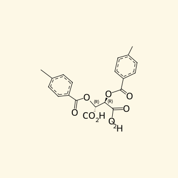 [2H]OC(=O)[C@H](OC(=O)c1ccc(C)cc1)[C@@H](OC(=O)c1ccc(C)cc1)C(=O)O